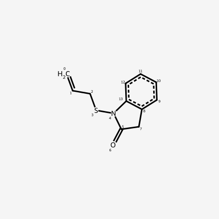 C=CCSN1C(=O)Cc2ccccc21